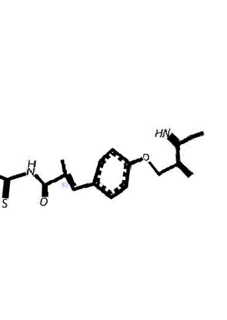 C=C(COc1ccc(/C=C(\C)C(=O)NC(C)=S)cc1)C(C)=N